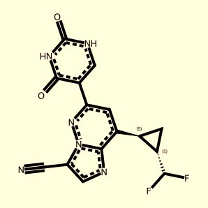 N#Cc1cnc2c([C@H]3C[C@@H]3C(F)F)cc(-c3c[nH]c(=O)[nH]c3=O)nn12